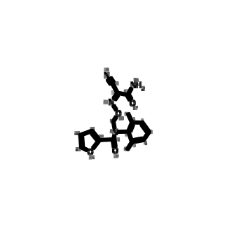 Cc1cccc(C)c1N(CON=C(C#N)C(N)=O)C(=O)c1ccco1